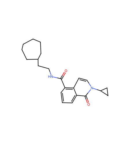 O=C(NCCC1CCCCCC1)c1cccc2c(=O)n(C3CC3)ccc12